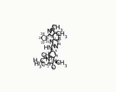 CC[C@@H]1C(=O)N(C)c2ccc(Nc3ncc(F)c(-c4c(C5CCCC5)nn(C)c4C)n3)cc2N1C(C)C